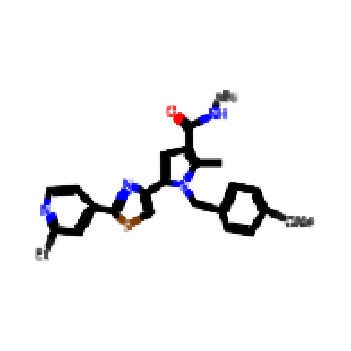 CCCCNC(=O)c1cc(-c2csc(-c3ccnc(CC)c3)n2)n(Cc2ccc(OC)cc2)c1C